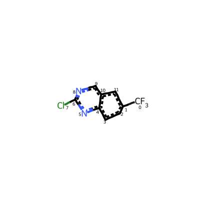 FC(F)(F)c1ccc2nc(Cl)ncc2c1